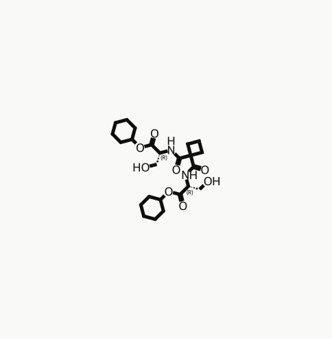 O=C(OC1CCCCC1)[C@@H](CO)NC(=O)C1(C(=O)N[C@H](CO)C(=O)OC2CCCCC2)CCC1